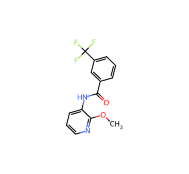 COc1ncccc1NC(=O)c1cccc(C(F)(F)F)c1